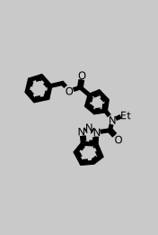 CCN(C(=O)n1nnc2ccccc21)c1ccc(C(=O)OCc2ccccc2)cc1